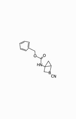 N#CB1CC2(NC(=O)OCc3ccccc3)CC12